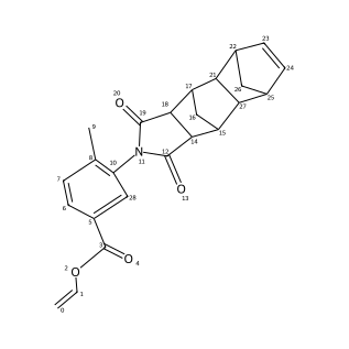 C=COC(=O)c1ccc(C)c(N2C(=O)C3C4CC(C3C2=O)C2C3C=CC(C3)C42)c1